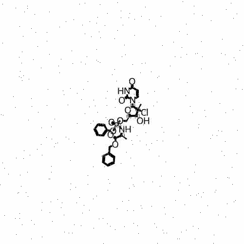 C[C@H](N[P@](=O)(OC[C@H]1O[C@@H](n2ccc(=O)[nH]c2=O)[C@](C)(Cl)[C@@H]1O)Oc1ccccc1)C(=O)OCc1ccccc1